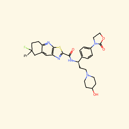 CC(C)C1(F)CCc2nc3sc(C(=O)N[C@H](CCN4CCC(O)CC4)c4ccc(N5CCOC5=O)cc4)nc3cc2C1